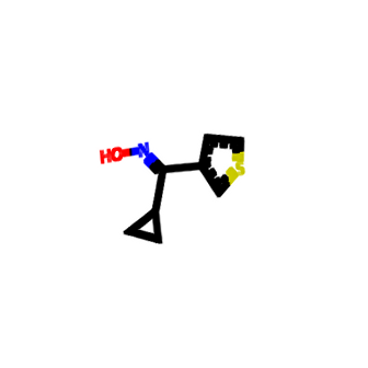 O/N=C(/c1ccsc1)C1CC1